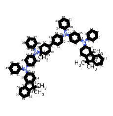 CC1(C)C2=CC=C(N(c3ccccc3)c3ccc(N(c4ccccc4)c4ccc(C5=CCC(C)(N(c6ccccc6)c6ccc(N(c7ccccc7)c7ccc8c(c7)-c7ccccc7C8(C)C)cc6)C=C5)cc4)cc3)CC2(C)C2=C1C=C=C=C2